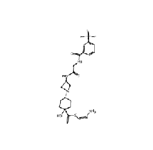 C=C(S/C=N\N)[C@]1(O)CC[C@H](N2CC(NC(=O)CNC(=O)c3cccc(C(F)(F)F)c3)C2)CC1